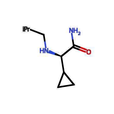 CC(C)CN[C@@H](C(N)=O)C1CC1